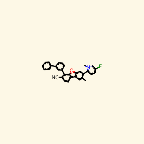 Cc1cc2c(cc1-c1ccc(F)c[n+]1C)oc1c(-c3cccc(-c4ccccc4)c3)c(C#N)ccc12